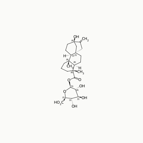 C=C1C[C@]23CC[C@@H]4[C@](C)(CCC[C@@]4(C)C(=O)O[C@@H]4O[C@H](C(=O)O)[C@@H](O)[C@H](O)[C@H]4O)[C@H]2CC[C@@]1(O)C3